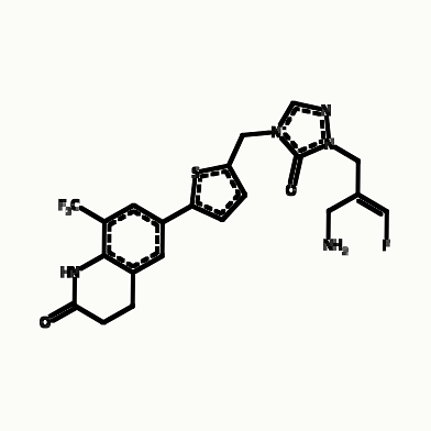 NC/C(=C\F)Cn1ncn(Cc2ccc(-c3cc4c(c(C(F)(F)F)c3)NC(=O)CC4)s2)c1=O